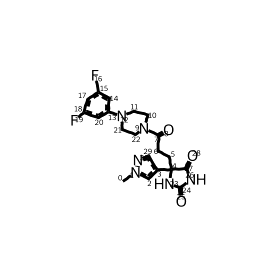 Cn1cc(C2(CCC(=O)N3CCN(c4cc(F)cc(F)c4)CC3)NC(=O)NC2=O)cn1